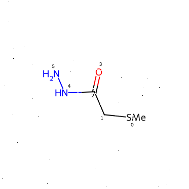 CSCC(=O)NN